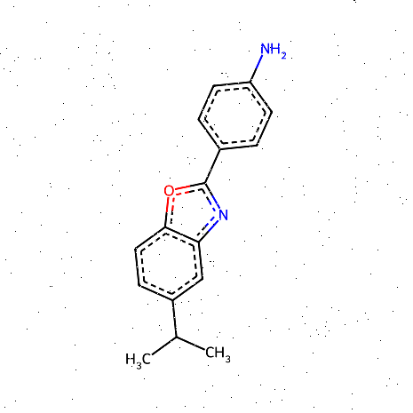 CC(C)c1ccc2oc(-c3ccc(N)cc3)nc2c1